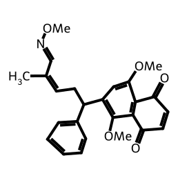 CON=CC(C)=CCC(c1ccccc1)c1cc(OC)c2c(c1OC)C(=O)C=CC2=O